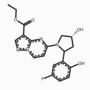 CCOC(=O)c1cnn2ccc(N3C[C@H](O)CC3c3cc(F)ccc3O)nc12